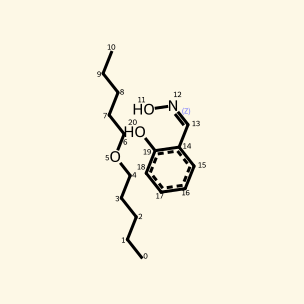 CCCCCOCCCCC.O/N=C\c1ccccc1O